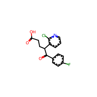 O=C(O)CCC(C(=O)c1ccc(F)cc1)c1cccnc1Cl